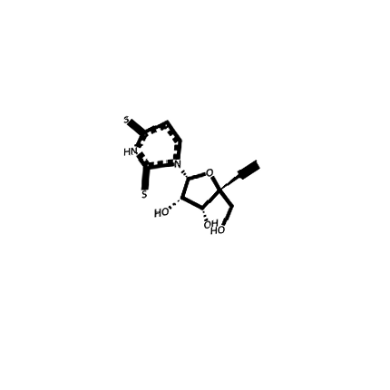 C#C[C@]1(CO)O[C@@H](n2ccc(=S)[nH]c2=S)[C@@H](O)[C@H]1O